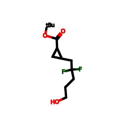 CC(C)(C)OC(=O)C1CC1CC(F)(F)CCCO